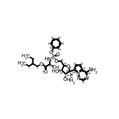 CCC(CC)COC(=O)[C@H](C)N[P@](=O)(OCC1O[C@@](C)(c2ccc3c(N)ncnn23)[C@H](O)[C@@H]1O)Oc1ccccc1